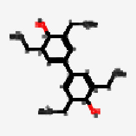 COCC1=CC(C2=CC(COC)C(O)C(COC)=C2)=CC(COC)C1O